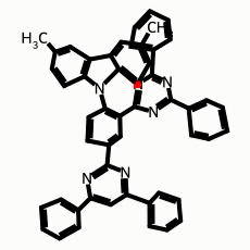 Cc1ccc2c(c1)c1cc(C)ccc1n2-c1ccc(-c2nc(-c3ccccc3)cc(-c3ccccc3)n2)cc1-c1nc(-c2ccccc2)nc(-c2ccccc2)n1